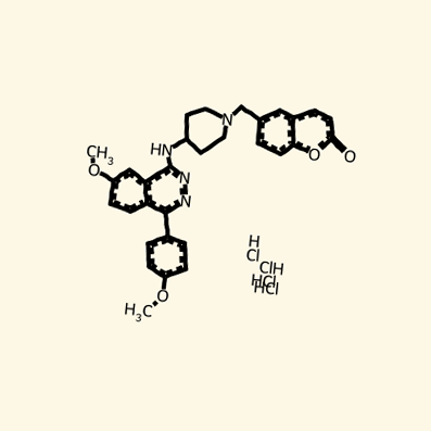 COc1ccc(-c2nnc(NC3CCN(Cc4ccc5oc(=O)ccc5c4)CC3)c3cc(OC)ccc23)cc1.Cl.Cl.Cl.Cl